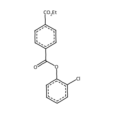 CCOC(=O)c1ccc(C(=O)Oc2ccccc2Cl)cc1